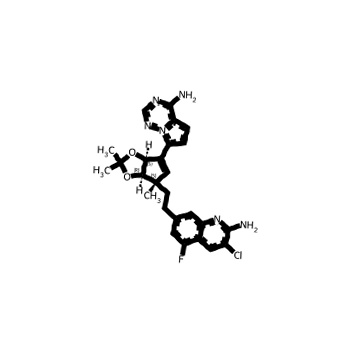 CC1(C)O[C@H]2C(c3ccc4c(N)ncnn34)=C[C@](C)(CCc3cc(F)c4cc(Cl)c(N)nc4c3)[C@H]2O1